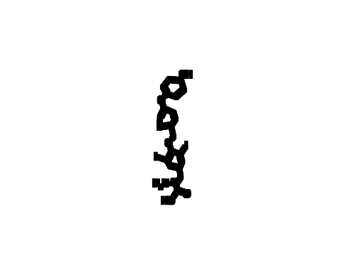 N[C@@H](Cc1cc(I)c(OCc2ccc(Oc3ccc(O)cc3)cc2)c(I)c1)C(=O)O